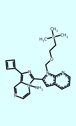 C[Si](C)(C)CCOCn1c(C2=NC(C3=CC=C3)=C3C=NC=C[N+]23N)cc2cccnc21